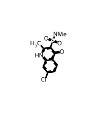 CNS(=O)(=O)c1c(C)[nH]c2cc(Cl)ccc2c1=O